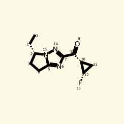 CC[C@H]1CCc2nc(C(=O)[C@@H]3C[C@@H]3F)nn21